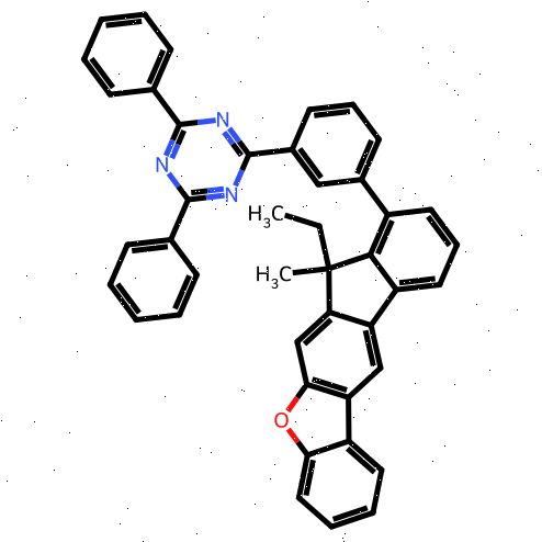 CCC1(C)c2cc3oc4ccccc4c3cc2-c2cccc(-c3cccc(-c4nc(-c5ccccc5)nc(-c5ccccc5)n4)c3)c21